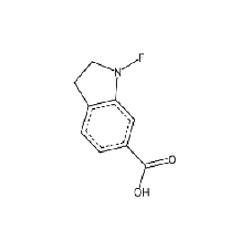 O=C(O)c1ccc2c(c1)N(F)CC2